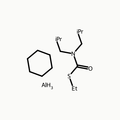 C1CCCCC1.CCSC(=O)N(CC(C)C)CC(C)C.[AlH3]